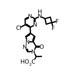 CC(C(=O)O)n1cnn2cc(-c3nc(NC4CC(F)(F)C4)ncc3Cl)cc2c1=O